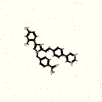 O=C(O)c1ccc(Cn2cc(-c3ccc(Cl)cc3Cl)nc2/C=C/c2ccc(-c3cncnc3)cc2)cc1